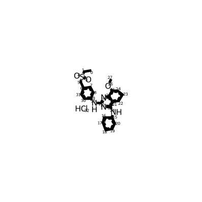 CCS(=O)(=O)Cc1ccc(Nc2nc(Nc3ccccc3)c3cccc(OC)c3n2)cc1.Cl